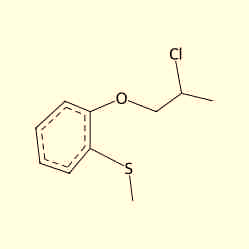 CSc1ccccc1OCC(C)Cl